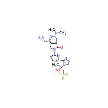 CN(C)c1cc2c(c(CN)n1)CN(c1cccc(-c3nncn3[C@@](C)(O)CC(F)(F)F)n1)C2=O